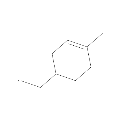 [CH2]CC1CC=C(C)CC1